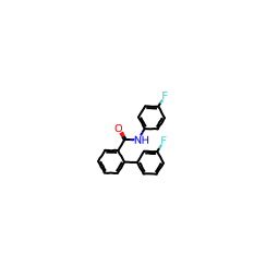 O=C(Nc1ccc(F)cc1)c1ccccc1-c1cccc(F)c1